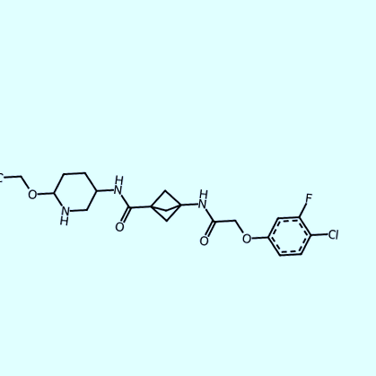 O=C(COc1ccc(Cl)c(F)c1)NC12CC(C(=O)NC3CCC(OCC(F)(F)F)NC3)(C1)C2